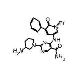 CC(C)n1cc(Nc2nc(N3CCCC(N)C3)ncc2C(N)=O)cc(-c2ccccc2)c1=O